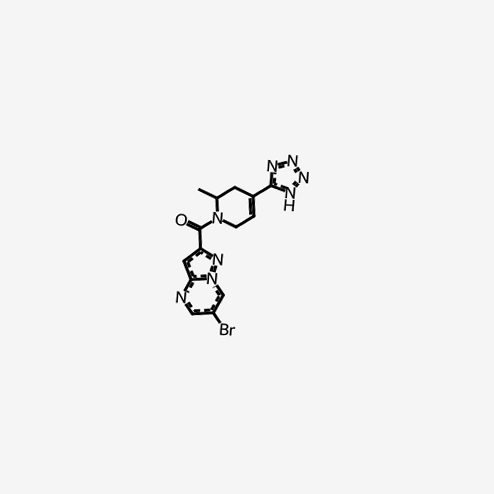 CC1CC(c2nnn[nH]2)=CCN1C(=O)c1cc2ncc(Br)cn2n1